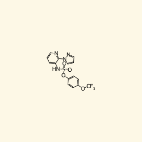 O=S(=O)(Nc1cccnc1-n1cccn1)Oc1ccc(OC(F)(F)F)cc1